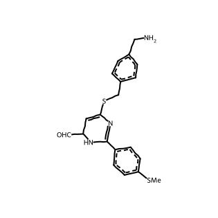 CSc1ccc(C2=NC(SCc3ccc(CN)cc3)=CC(C=O)N2)cc1